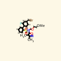 COCCOCN(c1onc(C)c1C)S(=O)(=O)c1ccccc1-c1ccc(CBr)cc1F